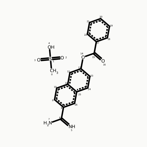 CS(=O)(=O)O.N=C(N)c1ccc2cc(OC(=O)c3ccccc3)ccc2c1